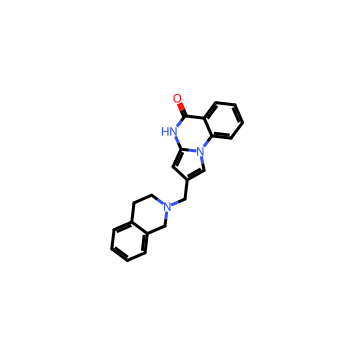 O=c1[nH]c2cc(CN3CCc4ccccc4C3)cn2c2ccccc12